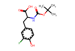 CC(C)(C)OC(=O)NC(Cc1ccc(O)c(F)c1)C(=O)O